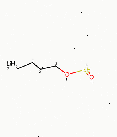 CCCCO[SH]=O.[LiH]